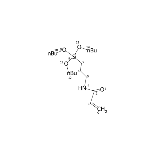 C=CC(=O)NCCC[Si](OCCCC)(OCCCC)OCCCC